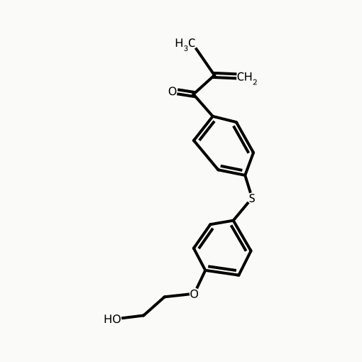 C=C(C)C(=O)c1ccc(Sc2ccc(OCCO)cc2)cc1